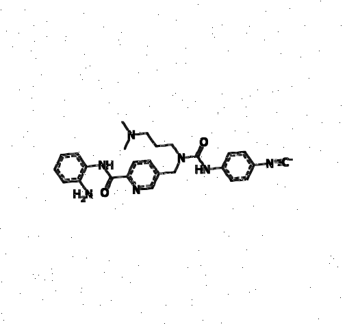 [C-]#[N+]c1ccc(NC(=O)N(CCCN(C)C)Cc2ccc(C(=O)Nc3ccccc3N)nc2)cc1